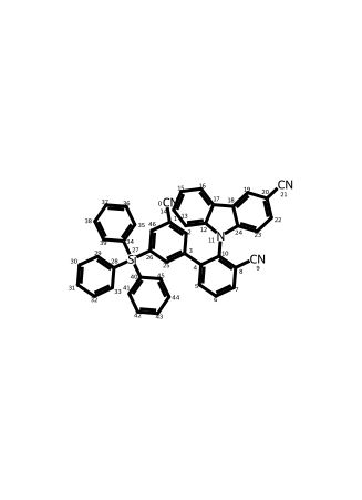 N#Cc1cc(-c2cccc(C#N)c2-n2c3ccccc3c3cc(C#N)ccc32)cc([Si](c2ccccc2)(c2ccccc2)c2ccccc2)c1